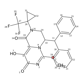 COc1nc(=O)c(O)c2n1C(C(c1ccccc1)c1ccccc1)CN(C1(C(F)(F)F)CC1)C2=O